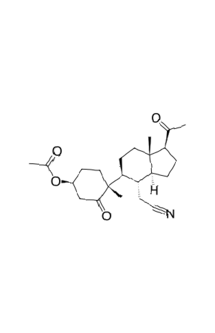 CC(=O)O[C@H]1CC[C@](C)([C@H]2CC[C@]3(C)[C@@H](C(C)=O)CC[C@H]3[C@@H]2CC#N)C(=O)C1